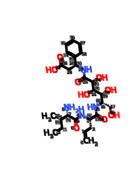 C=CC[C@H](NC(=O)[C@@H](N)[C@@H](C)CC)C(=O)N[C@@H](CO)[C@@H](O)[C@@H](O)[C@H](O)C(=O)N[C@@H](CC(=O)O)c1ccccc1